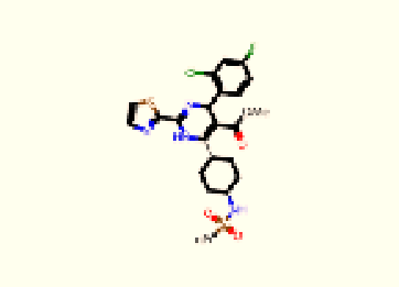 CCCS(=O)(=O)N[C@H]1CC[C@H](C2=C(C(=O)OC)C(c3ccc(F)cc3Cl)N=C(c3nccs3)N2)CC1